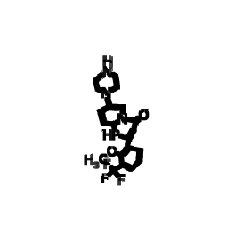 COc1c(C2=CC(=O)N3C=C(N4CCNCC4)C=CC3P2)cccc1C(F)(F)F